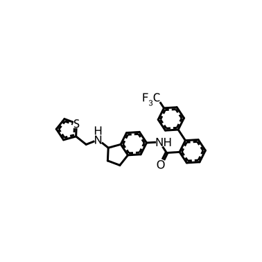 O=C(Nc1ccc2c(c1)CCC2NCc1cccs1)c1ccccc1-c1ccc(C(F)(F)F)cc1